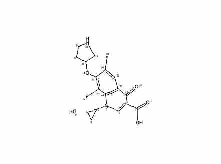 Cl.O=C(O)c1cn(C2CC2)c2c(F)c(OC3CCNC3)c(F)cc2c1=O